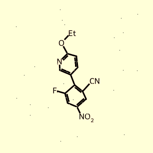 CCOc1ccc(-c2c(F)cc([N+](=O)[O-])cc2C#N)cn1